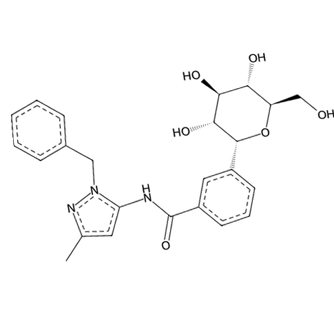 Cc1cc(NC(=O)c2cccc([C@H]3O[C@H](CO)[C@@H](O)[C@H](O)[C@H]3O)c2)n(Cc2ccccc2)n1